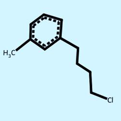 Cc1cccc(CCCCCl)c1